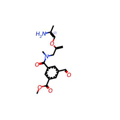 C=C(CN(C)C(=O)c1cc(C=O)cc(C(=O)OC)c1)O/C=C(/C)N